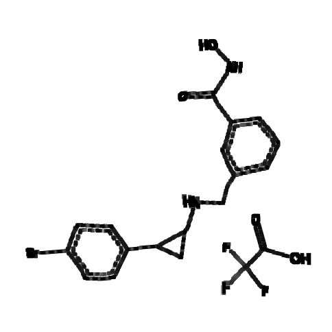 O=C(NO)c1cccc(CNC2CC2c2ccc(Br)cc2)c1.O=C(O)C(F)(F)F